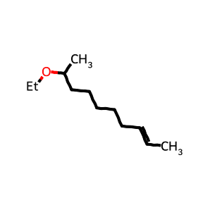 CC=CCCCCCC(C)OCC